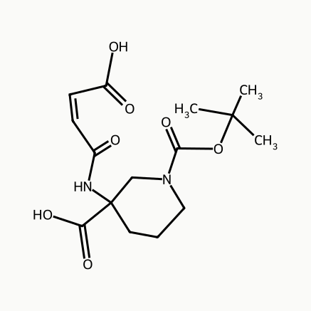 CC(C)(C)OC(=O)N1CCCC(NC(=O)/C=C\C(=O)O)(C(=O)O)C1